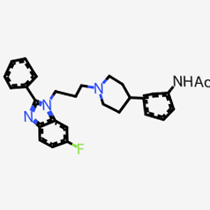 CC(=O)Nc1cccc(C2CCN(CCCn3c(-c4ccccc4)nc4ccc(F)cc43)CC2)c1